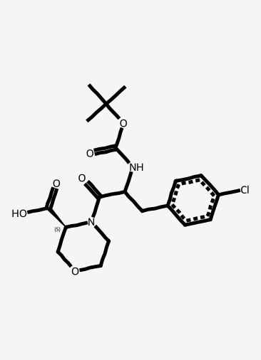 CC(C)(C)OC(=O)NC(Cc1ccc(Cl)cc1)C(=O)N1CCOC[C@H]1C(=O)O